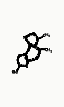 Cc1cnc2c3ccc(C(C)(C)C)nc3cc(C)n12